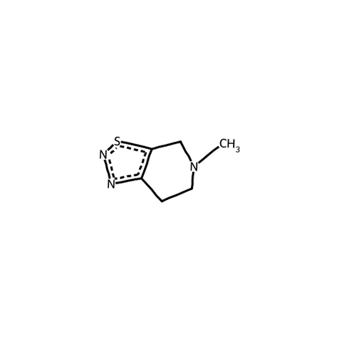 CN1CCc2nnsc2C1